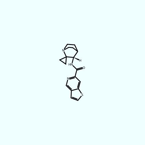 O=C(N[C@H]1C2CCN(CC2)C12CC2)c1cc2sccc2cn1